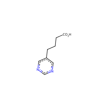 O=C(O)CCCc1cncnc1